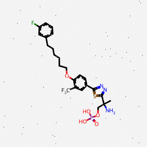 CC(N)(COP(=O)(O)O)c1nnc(-c2ccc(OCCCCCCc3cccc(F)c3)c(C(F)(F)F)c2)s1